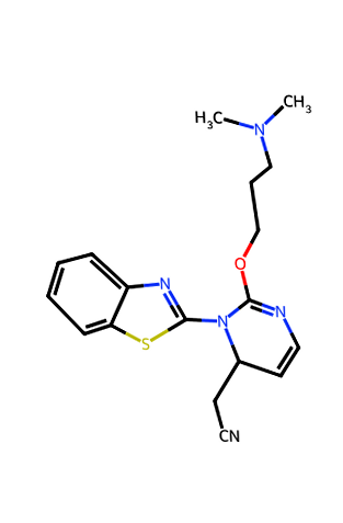 CN(C)CCCOC1=NC=CC(CC#N)N1c1nc2ccccc2s1